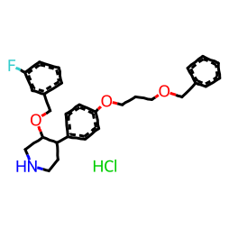 Cl.Fc1cccc(COC2CNCCC2c2ccc(OCCCOCc3ccccc3)cc2)c1